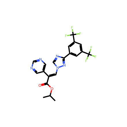 CC(C)OC(=O)/C(=C/n1cnc(-c2cc(C(F)(F)F)cc(C(F)(F)F)c2)n1)c1cncnc1